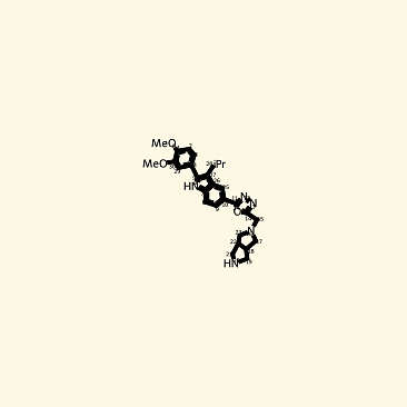 COc1ccc(-c2[nH]c3ccc(-c4nnc(CN5CC6CNCC6C5)o4)cc3c2C(C)C)cc1OC